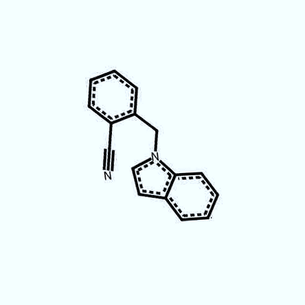 N#Cc1ccccc1Cn1ccc2c[c]ccc21